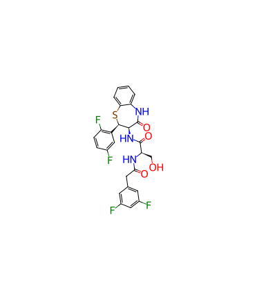 O=C(Cc1cc(F)cc(F)c1)N[C@H](CO)C(=O)N[C@@H]1C(=O)Nc2ccccc2S[C@@H]1c1cc(F)ccc1F